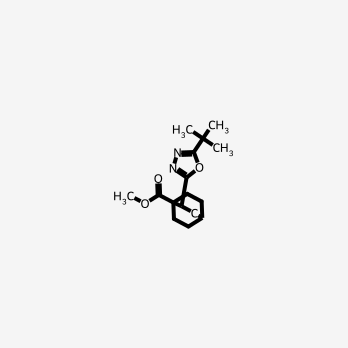 COC(=O)C12CCC(CC1)CC2c1nnc(C(C)(C)C)o1